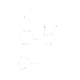 Cc1cc(-c2cc(SC(C)(C)C#N)ccc2Oc2ccc(F)cc2F)c2cc[nH]c2[n+]1O